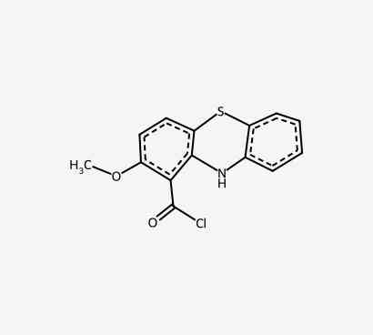 COc1ccc2c(c1C(=O)Cl)Nc1ccccc1S2